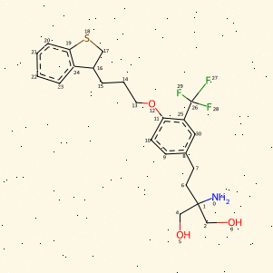 NC(CO)(CO)CCc1ccc(OCCCC2CSc3ccccc32)c(C(F)(F)F)c1